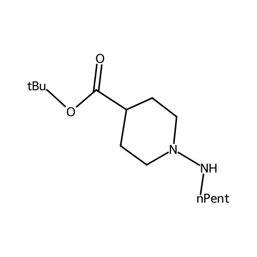 CCCCCNN1CCC(C(=O)OC(C)(C)C)CC1